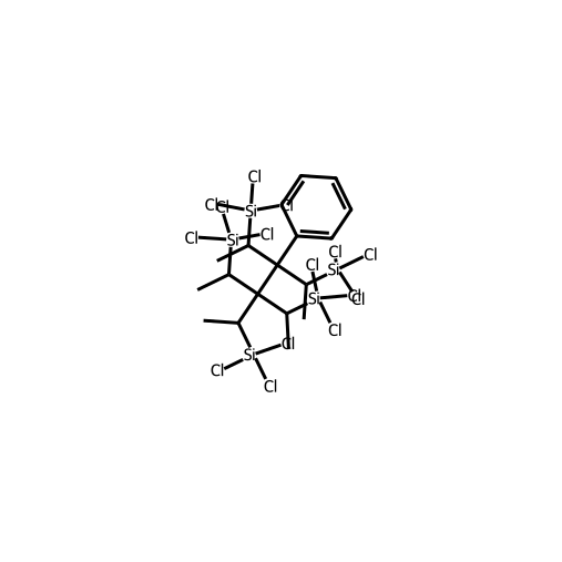 CC(C(c1ccccc1)(C(C)[Si](Cl)(Cl)Cl)C(C(C)[Si](Cl)(Cl)Cl)(C(C)[Si](Cl)(Cl)Cl)C(C)[Si](Cl)(Cl)Cl)[Si](Cl)(Cl)Cl